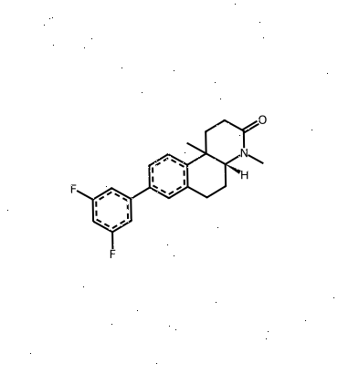 CN1C(=O)CCC2(C)c3ccc(-c4cc(F)cc(F)c4)cc3CC[C@@H]12